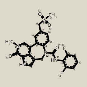 Cn1cc2c3c(c[nH]c3c1=O)CN(C(=O)Nc1c(F)cccc1F)c1ccc(CS(C)(=O)=O)cc1-2